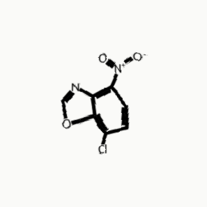 O=[N+]([O-])c1ccc(Cl)c2ocnc12